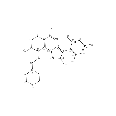 CCC1CCc2c(C)nc3c(-c4c(C)cc(C)cc4C)c(C)nn3c2N1CCN1CCOCC1